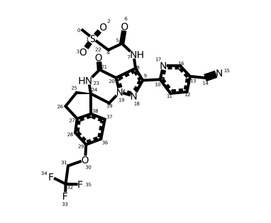 CS(=O)(=O)CC(=O)Nc1c(-c2ccc(C#N)cn2)nn2c1C(=O)N[C@]1(CCc3cc(OCC(F)(F)F)ccc31)C2